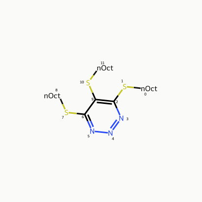 CCCCCCCCSc1nnnc(SCCCCCCCC)c1SCCCCCCCC